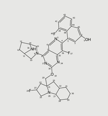 Oc1cc(-c2ncc3c(N4CC5CCC(C4)N5)nc(OCC45CC(F)CN4C4CCCCC4C5)nc3c2F)c2c(F)cccc2c1